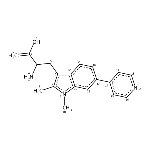 C=C(O)C(N)Cc1c(C)n(C)c2cc(-c3ccncc3)ccc12